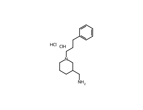 Cl.Cl.NCC1CCCN(CCCc2ccccc2)C1